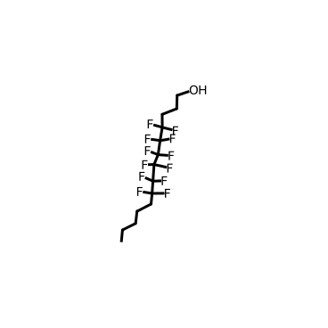 CCCCCC(F)(F)C(F)(F)C(F)(F)C(F)(F)C(F)(F)C(F)(F)CCCO